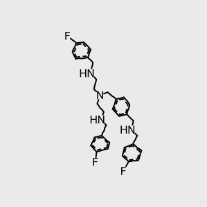 Fc1ccc(CNCCN(CCNCc2ccc(F)cc2)Cc2ccc(CNCc3ccc(F)cc3)cc2)cc1